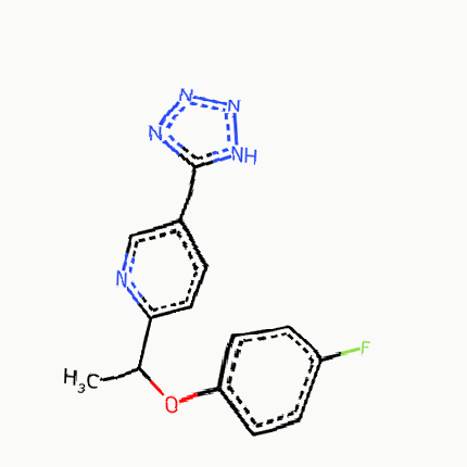 CC(Oc1ccc(F)cc1)c1ccc(-c2nnn[nH]2)cn1